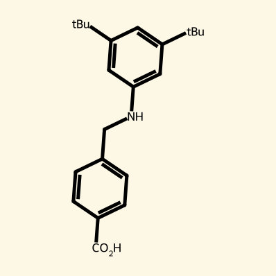 CC(C)(C)c1cc(NCc2ccc(C(=O)O)cc2)cc(C(C)(C)C)c1